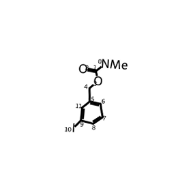 CNC(=O)OCc1cccc(I)c1